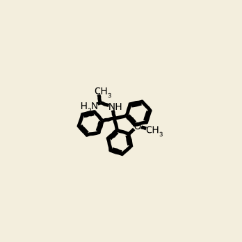 COc1ccccc1C(NC(C)N)(c1ccccc1)c1ccccc1